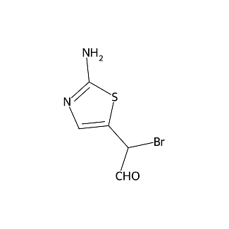 Nc1ncc(C(Br)C=O)s1